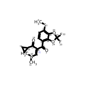 CSc1ccc(C(=O)/C(=C/N(C)C)C(=O)C2CC2)c2c1OC(F)(F)O2